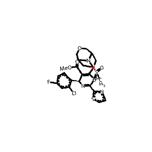 COC(=O)C1=C(CN2C3COCC2CN(S(C)(=O)=O)C3)NC(c2nccs2)=N[C@H]1c1ccc(F)cc1Cl